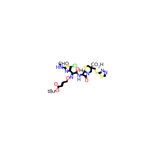 CC(C)(C)OC(=O)C=CCON=C(C(=O)NC1C(=O)N2CC(CSc3nncs3)(C(=O)O)CS[C@H]12)c1nc(NC=O)sc1Cl